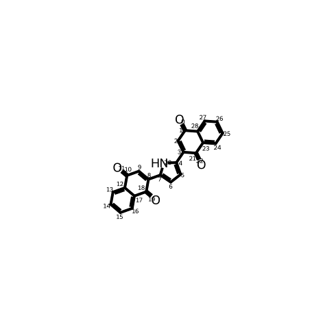 O=C1C=C(c2ccc(C3=CC(=O)c4ccccc4C3=O)[nH]2)C(=O)c2ccccc21